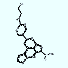 CC(C)(C)[S+]([O-])c1sc2nc(-c3cnc(NCCO)nc3)cc3c2c1[nH]n1nccc31